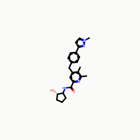 Cc1nc(C(=O)NC2CCC[C@@H]2O)cc(Cc2ccc(-c3ccn(C)n3)cc2)c1C